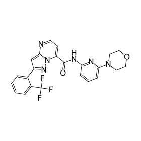 O=C(Nc1cccc(N2CCOCC2)n1)c1ccnc2cc(-c3ccccc3C(F)(F)F)nn12